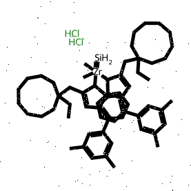 CCC1(CC2=Cc3c(-c4cc(C)cc(C)c4)cccc3[CH]2[Zr]([CH3])([CH3])(=[SiH2])[CH]2C(CC3(CC)CCCCCCCC3)=Cc3c(-c4cc(C)cc(C)c4)cccc32)CCCCCCCC1.Cl.Cl